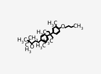 CCCCOc1ccc(C(CC)(CC)c2ccc(CCC(=O)C(C)(C)C)c(C)c2)cc1C